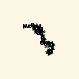 COc1cc(C)c(S(=O)(=O)N(C)CCOCC(=O)N(C)CC2CC[C@@H](CN3CCCC3)C2)c(C)c1